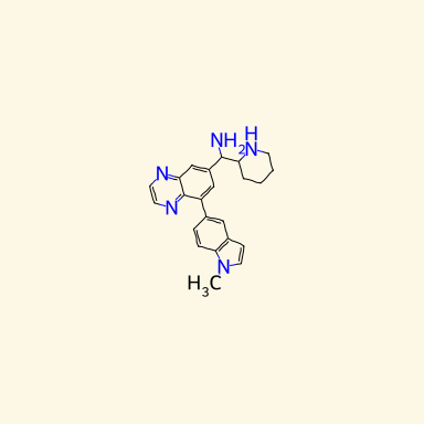 Cn1ccc2cc(-c3cc(C(N)C4CCCCN4)cc4nccnc34)ccc21